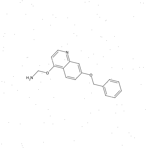 NCOc1ccnc2cc(OCc3ccccc3)ccc12